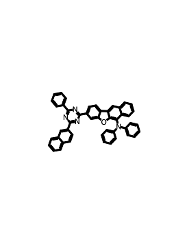 c1ccc(-c2nc(-c3ccc4ccccc4c3)nc(-c3ccc4c(c3)oc3c(N(c5ccccc5)c5ccccc5)c5ccccc5cc34)n2)cc1